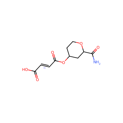 NC(=O)C1CC(OC(=O)/C=C/C(=O)O)CCO1